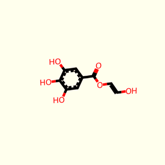 O=C(OC=CO)c1cc(O)c(O)c(O)c1